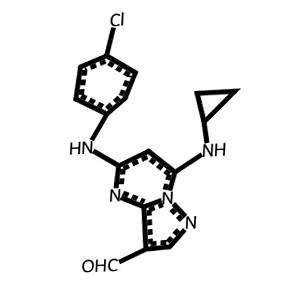 O=Cc1cnn2c(NC3CC3)cc(Nc3ccc(Cl)cc3)nc12